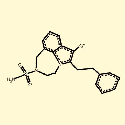 NS(=O)(=O)N1CCn2c(CCc3ccccc3)c(C(F)(F)F)c3cccc(c32)C1